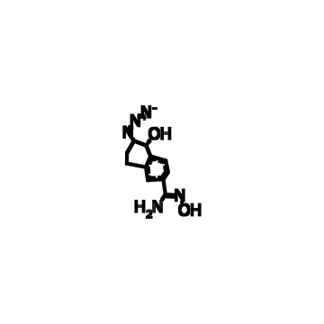 [N-]=[N+]=N[C@@H]1CCc2cc(/C(N)=N/O)ccc2[C@@H]1O